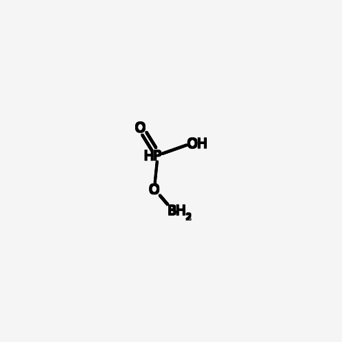 BO[PH](=O)O